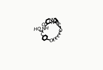 O=C1NC(CO)Cc2ccc(cc2)OCCCCOc2ccc3c(cnn3-c3ncccc31)c2